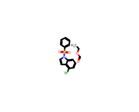 CCOC=O.O=S(=O)(c1ccccc1)n1ccc2c(Br)cccc21